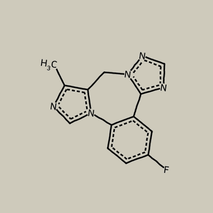 Cc1ncn2c1Cn1ncnc1-c1cc(F)ccc1-2